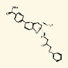 COC(=O)c1ccc(-c2ccc3c(c2)CC[C@H](CNC[C@H](O)COc2ccccc2)O3)cc1.CS(=O)(=O)O